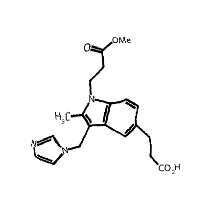 COC(=O)CCn1c(C)c(Cn2ccnc2)c2cc(CCC(=O)O)ccc21